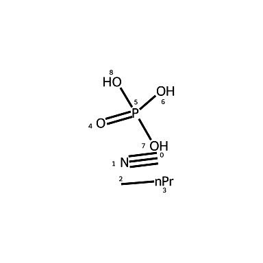 C#N.CCCC.O=P(O)(O)O